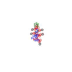 N[C@@H](C[C@@H](O)CNC(=O)OCc1ccccc1)C(=O)N[C@@H](Cc1cc(-c2ccc(OCc3ccccc3)c(C[C@H](NC(=O)OCc3ccccc3)C(=O)Oc3c(F)c(F)c(F)c(F)c3F)c2)ccc1OCc1ccccc1)C(=O)NCC(=O)OCc1ccccc1